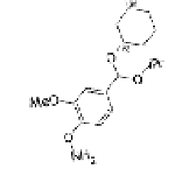 COc1cc(C(OC(C)C)O[C@H]2CCC[C@@H](C)C2)ccc1ON